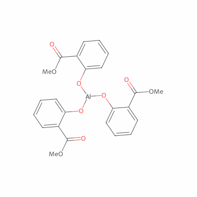 COC(=O)c1ccccc1[O][Al]([O]c1ccccc1C(=O)OC)[O]c1ccccc1C(=O)OC